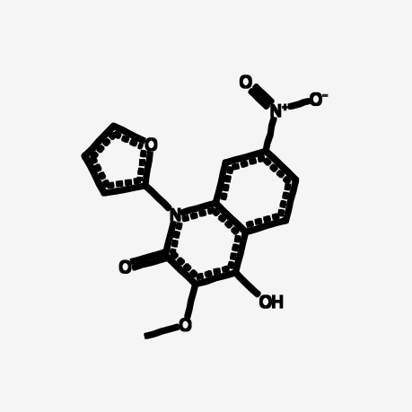 COc1c(O)c2ccc([N+](=O)[O-])cc2n(-c2ccco2)c1=O